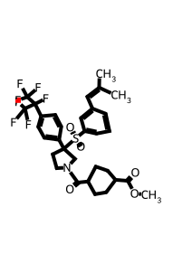 COC(=O)C1CCC(C(=O)N2CCC(c3ccc(C(F)(C(F)(F)F)C(F)(F)F)cc3)(S(=O)(=O)c3cccc(C=C(C)C)c3)C2)CC1